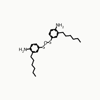 CCCCCCc1cc(SOSc2ccc(N)c(CCCCCC)c2)ccc1N